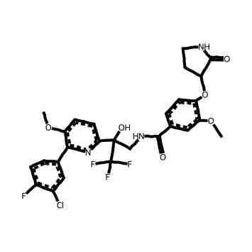 COc1cc(C(=O)NCC(O)(c2ccc(OC)c(-c3ccc(F)c(Cl)c3)n2)C(F)(F)F)ccc1OC1CCNC1=O